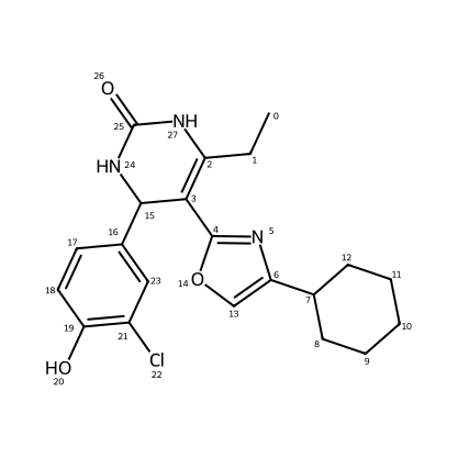 CCC1=C(c2nc(C3CCCCC3)co2)C(c2ccc(O)c(Cl)c2)NC(=O)N1